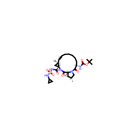 C[C@@H]1C[C@H]2C(=O)N[C@]3(C(=O)NS(=O)(=O)NC4CC4)C[C@H]3/C=C\CCCCC[C@H](NC(=O)OC(C)(C)C)C(=O)N2C1